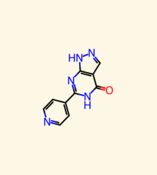 O=c1[nH]c(-c2ccncc2)nc2[nH]ncc12